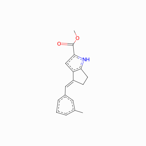 COC(=O)c1cc2c([nH]1)CC/C2=C\c1cccc(C)c1